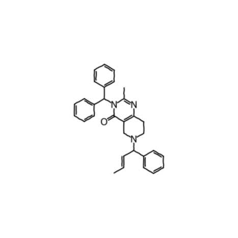 C/C=C/C(c1ccccc1)N1CCc2nc(C)n(C(c3ccccc3)c3ccccc3)c(=O)c2C1